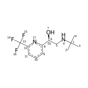 CC(C)(C)NC[C@H](O)c1cccc(C(F)(F)F)n1